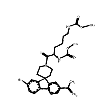 C=C(C)c1ccc2c(c1)C1(CCN(C(=O)C(CCCCNC(=O)OC(C)(C)C)NC(=O)OC(C)(C)C)CC1)c1cc(C(C)(C)C)ccc1-2